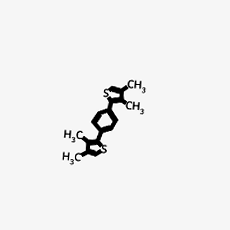 Cc1csc(-c2ccc(-c3scc(C)c3C)cc2)c1C